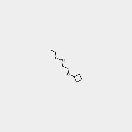 CCONCCNC1CCC1